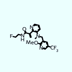 C=C(C(=O)NCCF)c1ncccc1N(C)Cc1cc(C(F)(F)F)cnc1OC